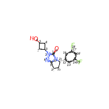 O=c1n(C2CC(O)C2)nc2n1[C@H](c1cc(F)cc(F)c1)CC2